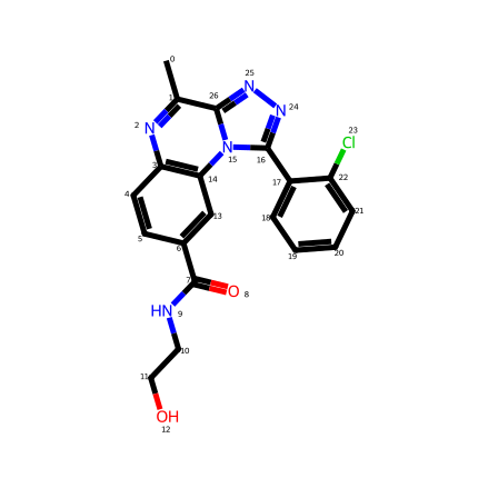 Cc1nc2ccc(C(=O)NCCO)cc2n2c(-c3ccccc3Cl)nnc12